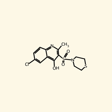 Cc1nc2ccc(Cl)cc2c(O)c1S(=O)(=O)N1CCSCC1